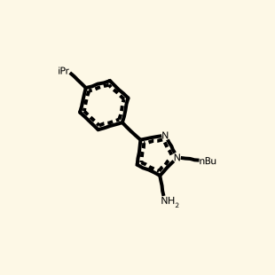 CCCCn1nc(-c2ccc(C(C)C)cc2)cc1N